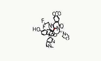 Cc1c(C(=O)N(c2ccc(O)cc2)c2cnc3c(ccn3C)c2)cc(-c2cc3c(cc2C(=O)N2Cc4ccccc4C[C@H]2CN2CCOCC2)OCO3)n1CC(F)F